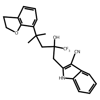 CC(C)(CC(O)(Cc1[nH]c2ccccc2c1C#N)C(F)(F)F)c1cccc2c1OCC2